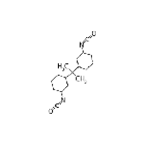 CC(C)(C1CCCC(N=C=O)C1)C1CCCC(N=C=O)C1